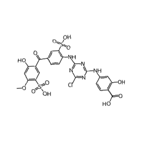 COc1cc(O)c(C(=O)c2ccc(Nc3nc(Cl)nc(Nc4ccc(C(=O)O)c(O)c4)n3)c(S(=O)(=O)O)c2)cc1S(=O)(=O)O